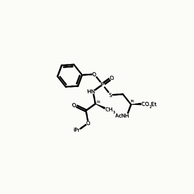 CCOC(=O)[C@H](CSP(=O)(N[C@@H](C)C(=O)OC(C)C)Oc1ccccc1)NC(C)=O